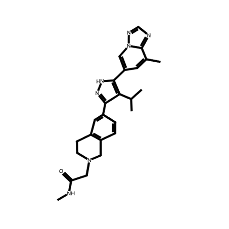 CNC(=O)CN1CCc2cc(-c3n[nH]c(-c4cc(C)c5ncnn5c4)c3C(C)C)ccc2C1